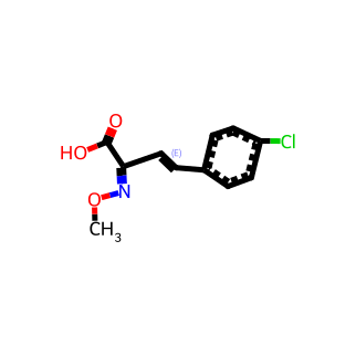 CON=C(/C=C/c1ccc(Cl)cc1)C(=O)O